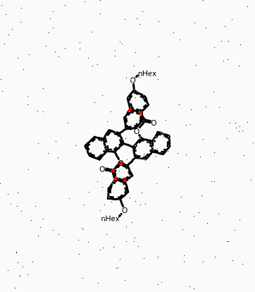 CCCCCCOc1ccc(C(=O)Oc2c(-c3c(-c4ccccc4)cc4ccccc4c3OC(=O)c3ccc(OCCCCCC)cc3)c(-c3ccccc3)cc3ccccc23)cc1